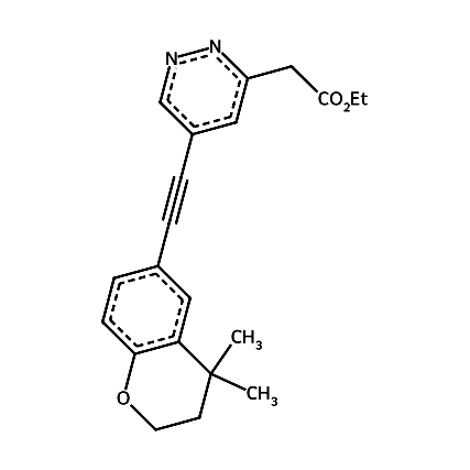 CCOC(=O)Cc1cc(C#Cc2ccc3c(c2)C(C)(C)CCO3)cnn1